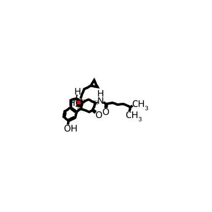 CC(C)CCCC(=O)N[C@H]1C[C@@]2(O)[C@H]3Cc4ccc(O)cc4[C@@]2(CCN3CC2CC2)CC1=O